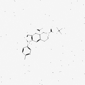 CC(=O)[C@]12Cc3cnn(-c4ccc(C)cc4)c3C=C1CCN(C(=O)OC(C)(C)C)C2